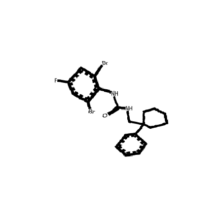 O=C(NCC1(c2ccccc2)CCCCC1)Nc1c(Br)cc(F)cc1Br